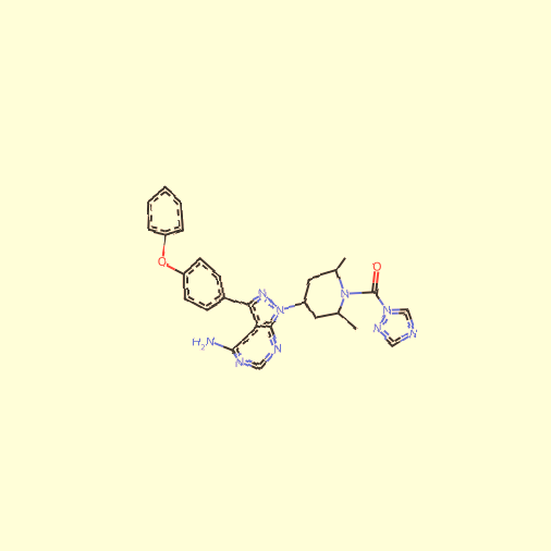 CC1CC(n2nc(-c3ccc(Oc4ccccc4)cc3)c3c(N)ncnc32)CC(C)N1C(=O)n1cncn1